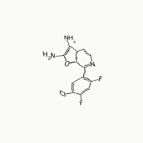 Nc1oc2c(-c3cc(Cl)c(F)cc3F)nccc2c1N